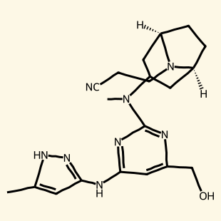 Cc1cc(Nc2cc(CO)nc(N(C)C3C[C@H]4CC[C@@H](C3)N4CCC#N)n2)n[nH]1